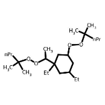 CCCC(C)(C)OOC1CC(CC)CC(CC)(C(C)OOC(C)(C)CCC)C1